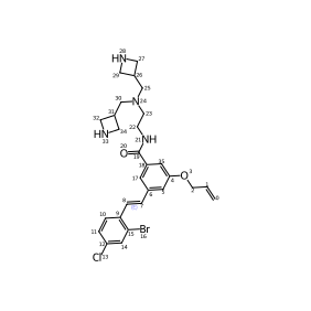 C=CCOc1cc(/C=C/c2ccc(Cl)cc2Br)cc(C(=O)NCCN(CC2CNC2)CC2CNC2)c1